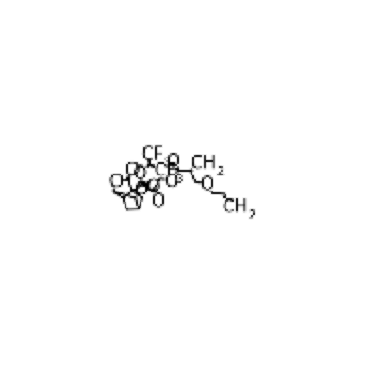 C=CCOCC(=C)C(=O)OCC(=O)OC1C2CC3C1OC(=O)C3(C(=O)OC(C(F)(F)F)C(F)(F)F)C2